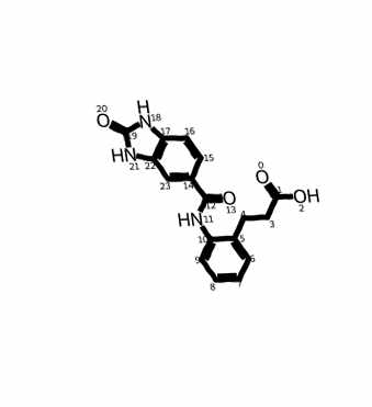 O=C(O)CCc1ccccc1NC(=O)c1ccc2[nH]c(=O)[nH]c2c1